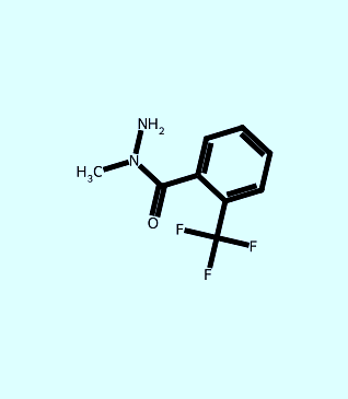 CN(N)C(=O)c1ccccc1C(F)(F)F